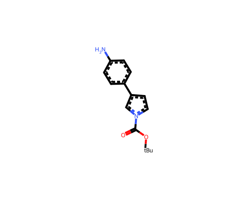 CC(C)(C)OC(=O)n1ccc(-c2ccc(N)cc2)c1